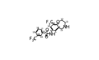 O=S(=O)(Nc1cc2c(c(C(F)(F)F)c1)OCCNC2)c1cccc(C(F)(F)F)c1